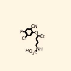 CCC(CCCNC(=O)O)Oc1cc(Cl)c(F)cc1C#N